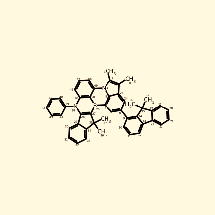 Cc1c(C)n2c3c(cc(-c4cccc5c4C(C)(C)c4ccccc4-5)cc13)B1C3=C(c4ccccc4C3(C)C)N(c3ccccc3)c3cccc-2c31